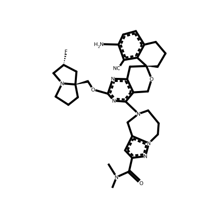 CN(C)C(=O)c1cc2n(n1)CCCN(c1nc(OC[C@@]34CCCN3C[C@H](F)C4)nc3c1CO[C@]1(CCCc4ccc(N)c(C#N)c41)C3)C2